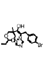 CCC1OCC(C)(C(O)=C(Cc2ccc(Br)cc2)n2cncn2)CO1